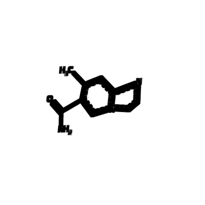 Cc1cc2nccn2cc1C(N)=O